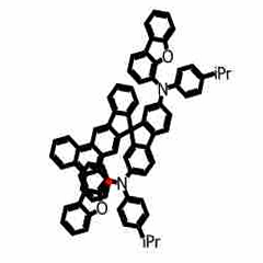 CC(C)c1ccc(N(c2ccc3c(c2)C2(c4ccccc4-c4cc5c6ccccc6c6ccccc6c5cc42)c2cc(N(c4ccc(C(C)C)cc4)c4cccc5c4oc4ccccc45)ccc2-3)c2cccc3c2oc2ccccc23)cc1